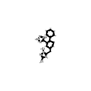 CCc1nc(Cc2ccc(-c3ccccc3)c(-c3nnn[nH]3)c2)n(CC)n1